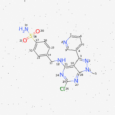 Cn1nc(-c2cccnc2)c2c(NCc3ccc(S(N)(=O)=O)cc3)nc(Cl)nc21